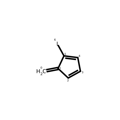 C=C1C=CC=C1I